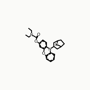 CCN(CC)C(=O)Oc1ccc2c(c1)Oc1ccccc1N2C1CC2CCC(C1)N2C